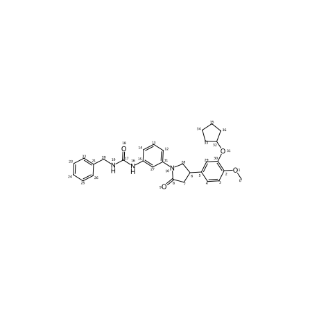 COc1ccc(C2CC(=O)N(c3cccc(NC(=O)NCc4ccccc4)c3)C2)cc1OC1CCCC1